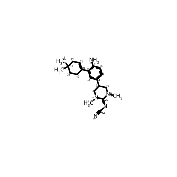 CN1CC(c2ccc(N)c(C3=CCC(C)(C)CC3)c2)CN(C)C1=NC#N